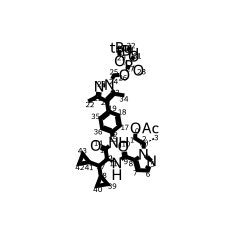 CC(=O)OC[C@H](C)n1nccc1C(=O)N[C@H](C(=O)Nc1ccc(-c2c(C)nn(COP(=O)(OC(C)(C)C)OC(C)(C)C)c2C)cc1)C(C1CC1)C1CC1